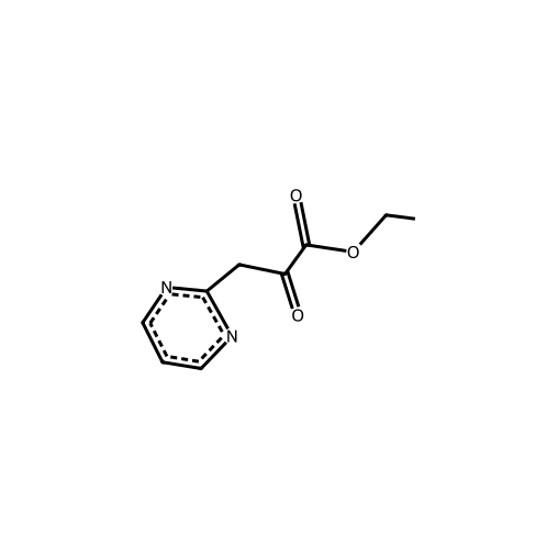 CCOC(=O)C(=O)Cc1ncccn1